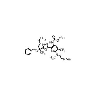 C=CCCC(OCc1ccccc1)(c1nnc(-c2nc(N(C)CCNC)c(C(F)(F)F)cc2NC(=O)OC(C)(C)C)o1)C(F)(F)F